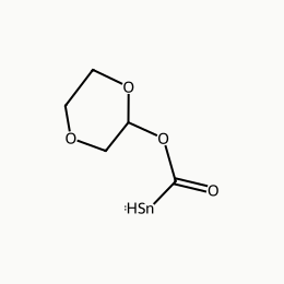 O=[C]([SnH])OC1COCCO1